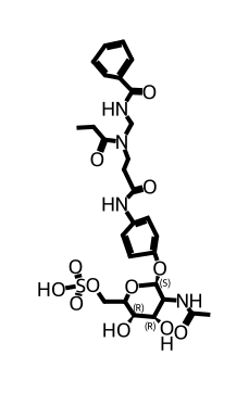 CCC(=O)N(CCC(=O)Nc1ccc(O[C@@H]2OC(COS(=O)(=O)O)[C@H](O)[C@H](O)C2NC(C)=O)cc1)CNC(=O)c1ccccc1